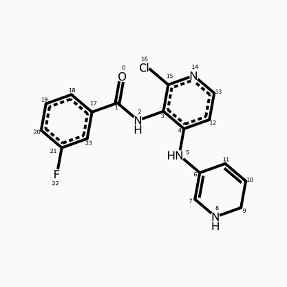 O=C(Nc1c(NC2=CNCC=C2)ccnc1Cl)c1cccc(F)c1